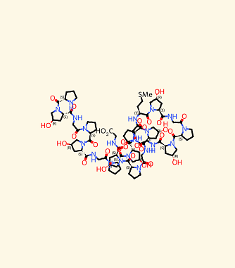 CSCC[C@H](NC(=O)CNC(=O)[C@@H]1C[C@@H](O)CN1C(=O)[C@@H]1CCCN1C(=O)CNC(=O)[C@@H]1C[C@@H](O)CN1C(=O)[C@@H]1CCCN1C(=O)CNC(=O)[C@@H]1C[C@@H](O)CN1C(=O)[C@@H]1CCCN1)C(=O)N1C[C@H](O)C[C@H]1C(=O)NCC(=O)N1CCC[C@H]1C(=O)N1C[C@H](O)C[C@H]1C(=O)NCC(=O)N1CCC[C@H]1C(=O)N1C[C@H](O)C[C@H]1C(=O)NCC(=O)N1CCC[C@H]1C(=O)N1C[C@H](O)C[C@H]1C(=O)NCC(=O)O